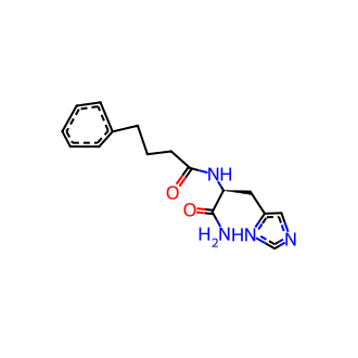 NC(=O)[C@H](Cc1cnc[nH]1)NC(=O)CCCc1ccccc1